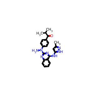 Cc1cc(Nc2nc(N(N)c3ccc(C(=O)C(C)C)cc3)nc3ccccc23)[nH]n1